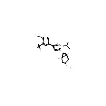 CC(C)n1nc(-c2cnc(N)c(C(F)(F)F)c2)cc1[C@H]1[C@@H]2C[C@@H](N)C[C@@H]21